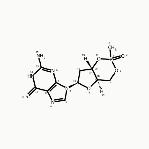 CP1(=O)OC[C@H]2O[C@@H](n3cnc4c(=S)[nH]c(N)nc43)C[C@@H]2O1